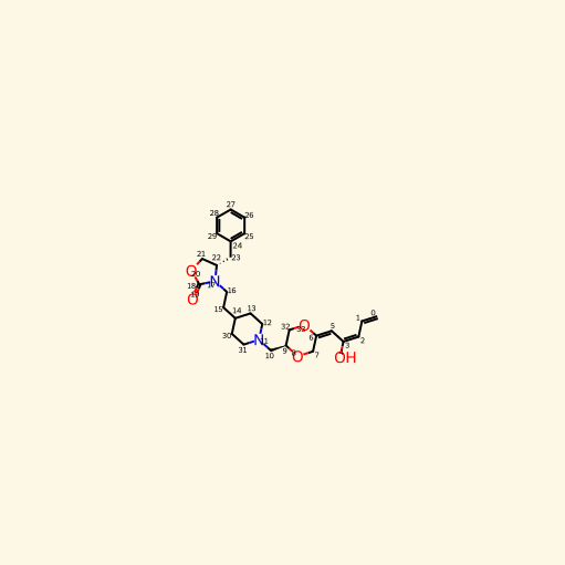 C=C/C=C(O)\C=C1/CO[C@@H](CN2CCC(CCN3C(=O)OC[C@@H]3Cc3ccccc3)CC2)CO1